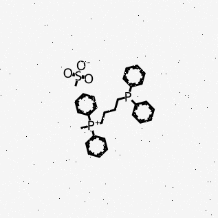 CS(=O)(=O)[O-].C[P+](CCCCP(c1ccccc1)c1ccccc1)(c1ccccc1)c1ccccc1